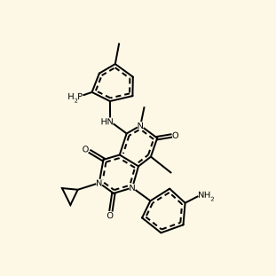 Cc1ccc(Nc2c3c(=O)n(C4CC4)c(=O)n(-c4cccc(N)c4)c3c(C)c(=O)n2C)c(P)c1